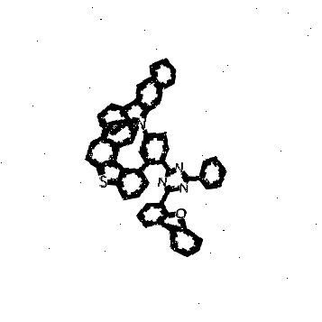 c1ccc(-c2nc(-c3ccc(-n4c5ccccc5c5cc6ccccc6cc54)cc3-c3cccc4sc5ccc6ccccc6c5c34)nc(-c3cccc4c3oc3ccccc34)n2)cc1